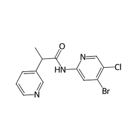 CC(C(=O)Nc1cc(Br)c(Cl)cn1)c1cccnc1